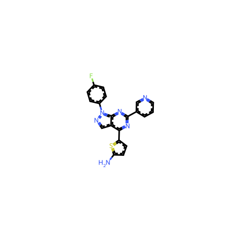 Nc1ccc(-c2nc(-c3cccnc3)nc3c2cnn3-c2ccc(F)cc2)s1